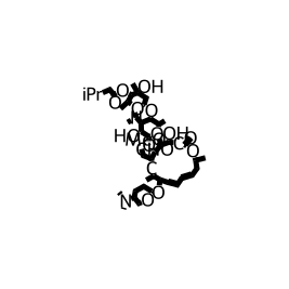 COC1C(O)CC(=O)OC(C)C/C=C/C=C/C(OC2CCC(N(C)C)CO2)C(C)CC(CC=O)C1OC1OC(C)C(OC2CC(C)(O)C(OC(=O)CC(C)C)C(C)O2)C(N(C)C)C1O